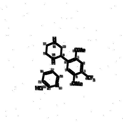 COc1cc(C(F)(F)F)c(OC)cc1C1CNCCN1.Cl.c1ccncc1